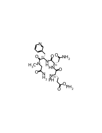 CN(CC(N)=O)C(=O)[C@H](Cc1cccnc1)NC(=O)[C@H](CC(N)=O)NC(=O)[C@H](CCC(=O)OP)N=P